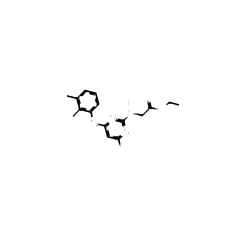 CCOC(=O)CNc1nc(Cl)cc(Nc2cccc(C)c2C)n1